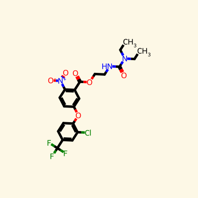 CCN(CC)C(=O)NCCOC(=O)c1cc(Oc2ccc(C(F)(F)F)cc2Cl)ccc1[N+](=O)[O-]